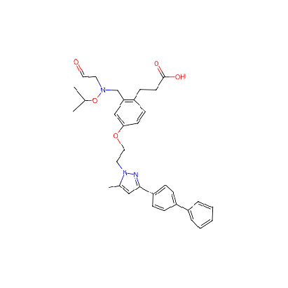 Cc1cc(-c2ccc(-c3ccccc3)cc2)nn1CCOc1ccc(CCC(=O)O)c(CN(CC=O)OC(C)C)c1